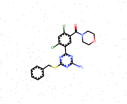 Nc1nc(SCc2ccccc2)nc(-c2cc(C(=O)N3CCOCC3)c(Cl)cc2Cl)n1